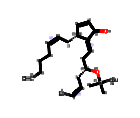 CC/C=C\C[C@H](C/C=C1/C(=O)C=C[C@H]1C/C=C\CCCC=O)O[Si](C)(C)C(C)(C)C